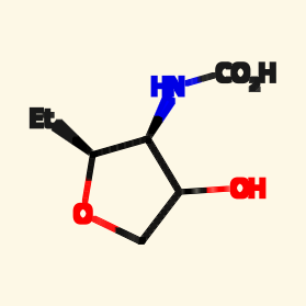 CC[C@@H]1OCC(O)[C@@H]1NC(=O)O